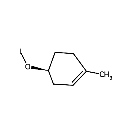 CC1=CC[C@@H](OI)CC1